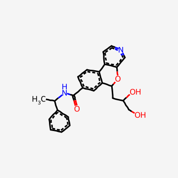 CC(NC(=O)c1ccc2c(c1)C(CC(O)CO)Oc1cnccc1-2)c1ccccc1